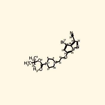 CC(C)(C)OC(=O)N1CCN(CCOc2cc(Br)c3c(C#N)cnn3c2)CC1